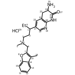 CCC(CCN(C)Cc1oc2ccccc2c1C)c1cnc2c(c1)CC(N)C(=O)N2.Cl